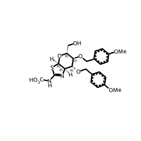 COc1ccc(CO[C@@H]2[C@H]3N=C(NC(=O)O)S[C@H]3O[C@H](CO)[C@H]2OCc2ccc(OC)cc2)cc1